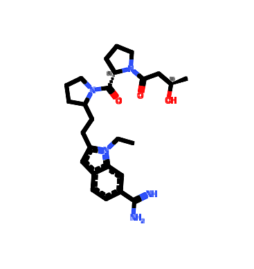 CCn1c(CCC2CCCN2C(=O)[C@@H]2CCCN2C(=O)C[C@@H](C)O)cc2ccc(C(=N)N)cc21